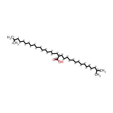 CC(C)CCCCCCCCCCCCCCCC(CCCCCCCCCCCCCC(C)C)C(=O)O